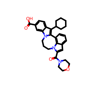 O=C(O)c1ccc2c(C3CCCCC3)c3n(c2c1)CCCn1c(C(=O)N2CCOCC2)cc2cccc-3c21